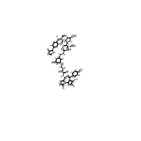 Cc1ncsc1-c1ccc([C@H](C)N(N)C(=O)[C@@H]2C[C@@H](O)CN2C(=O)[C@@H](NC(=O)CCc2cc(F)cc(OCCNC(=O)C[C@@H]3N=C(c4ccc(Cl)cc4)c4c(sc(C)c4C)-n4c(C)nnc43)c2)C(C)(C)C)cc1